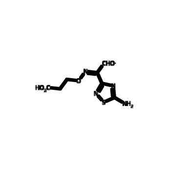 Nc1nc(/C([C]=O)=N\OCCC(=O)O)ns1